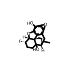 CN1CC[C@]23c4c5c6c(c(O)c4O[C@H]2[C@@H](F)CCC3(O)[C@H]1C5)O6